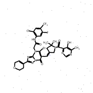 CCc1c(/C=C2/CN(C(=O)c3ncnc(C)c3O)C(C)(C)C2)c(=O)n2nc(C3=CCOCC3)nc2n1CC(=O)Nc1cc(F)c(C(F)(F)F)cc1Cl